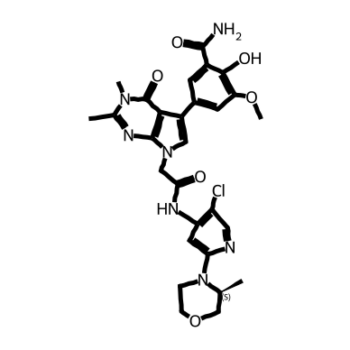 COc1cc(-c2cn(CC(=O)Nc3cc(N4CCOC[C@@H]4C)ncc3Cl)c3nc(C)n(C)c(=O)c23)cc(C(N)=O)c1O